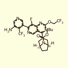 CC(C)(C)OC(=O)N1[C@@H]2CC[C@H]1CN(c1nc(OCC(F)(F)F)nc3c(F)c(-c4cncc(N)c4C(F)(F)F)ncc13)C2